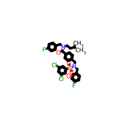 CC(C)CCN(Cc1ccc(F)cc1)C(=O)c1ccc(CN(Cc2ccc(F)cc2)S(=O)(=O)c2cc(Cl)cc(Cl)c2O)cc1